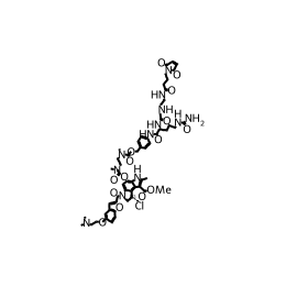 COC(=O)c1c(C)[nH]c2c(OC(=O)N(C)CCN(C)C(=O)OCc3ccc(NC(=O)C(CCCNC(N)=O)NC(=O)CNCCNC(=O)CCCN4C(=O)C=CC4=O)cc3)cc3c(c12)[C@H](CCl)CN3C(=O)c1cc2cc(OCCN(C)C)ccc2o1